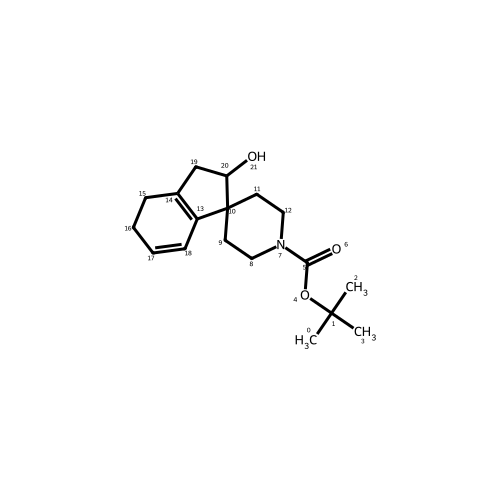 CC(C)(C)OC(=O)N1CCC2(CC1)C1=C(CCC=C1)CC2O